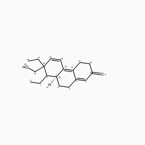 CCC1[C@@H]2CCC3=CC(=O)CCC3=C2C=CC1(CC)CO